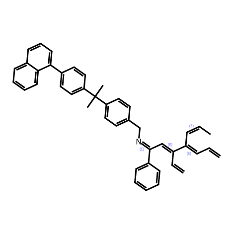 C=C/C=C(\C=C/C)C(/C=C)=C/C(=N\Cc1ccc(C(C)(C)c2ccc(-c3cccc4ccccc34)cc2)cc1)c1ccccc1